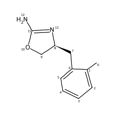 Cc1ccccc1C[C@H]1COC(N)=N1